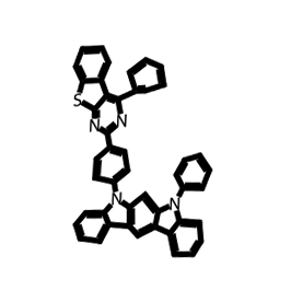 c1ccc(-c2nc(-c3ccc(-n4c5ccccc5c5cc6c7ccccc7n(-c7ccccc7)c6cc54)cc3)nc3sc4ccccc4c23)cc1